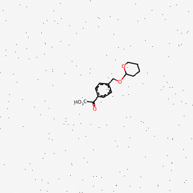 O=C(O)C(=O)c1ccc(COC2CCCCO2)cc1